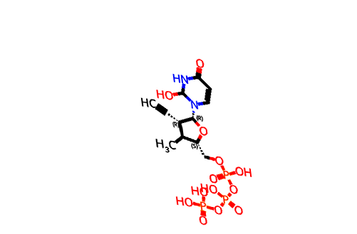 C#C[C@H]1C(C)[C@@H](COP(=O)(O)OP(=O)(O)OP(=O)(O)O)O[C@H]1N1C=CC(=O)NC1O